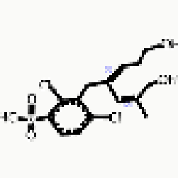 C/C(=C/C(=C\CCO)Cc1c(Cl)ccc(S(=O)(=O)O)c1Cl)CO